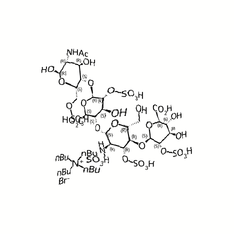 CC(=O)N[C@@H]1[C@@H](O)[C@H](O[C@@H]2O[C@H](C(=O)O)[C@@H](O[C@@H]3O[C@H](CO)[C@@H](O[C@H]4O[C@@H](C(=O)O)[C@H](O)[C@@H](O)[C@@H]4OS(=O)(=O)O)[C@H](OS(=O)(=O)O)[C@H]3NS(=O)(=O)O)[C@H](O)[C@H]2OS(=O)(=O)O)[C@H](COS(=O)(=O)O)O[C@H]1O.CCCC[N+](CCCC)(CCCC)CCCC.[Br-]